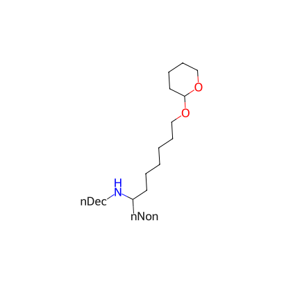 CCCCCCCCCCNC(CCCCCCCCC)CCCCCCOC1CCCCO1